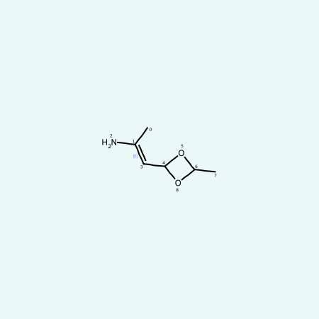 C/C(N)=C\C1OC(C)O1